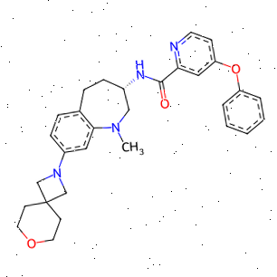 CN1C[C@@H](NC(=O)c2cc(Oc3ccccc3)ccn2)CCc2ccc(N3CC4(CCOCC4)C3)cc21